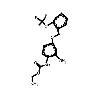 CCOC(=O)Nc1ccc(OCc2ccccc2OC(F)(F)F)cc1N